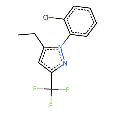 CCc1cc(C(F)(F)F)nn1-c1ccccc1Cl